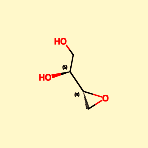 OC[C@H](O)[C@H]1CO1